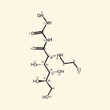 O=NNC(=O)NC(=O)[C@H](NCCCl)[C@@H](O)[C@H](O)[C@H](O)CO